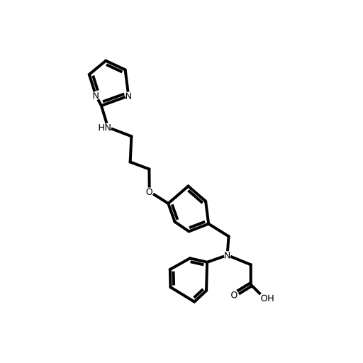 O=C(O)CN(Cc1ccc(OCCCNc2ncccn2)cc1)c1ccccc1